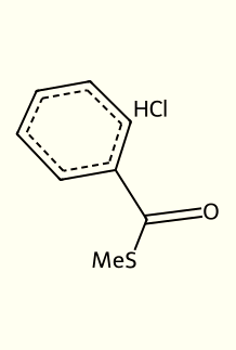 CSC(=O)c1ccccc1.Cl